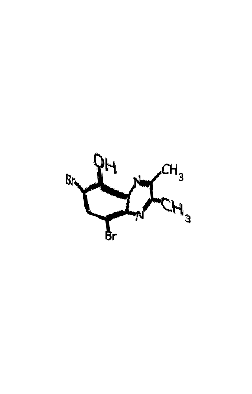 Cc1nc2c(Br)cc(Br)c(O)c2nc1C